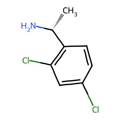 C[C@@H](N)c1ccc(Cl)cc1Cl